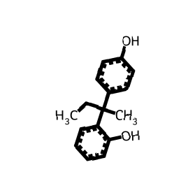 CCC(C)(c1ccc(O)cc1)c1ccccc1O